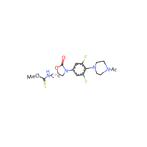 COC(=S)NC[C@H]1CN(c2cc(F)c(N3CCN(C(C)=O)CC3)c(F)c2)C(=O)O1